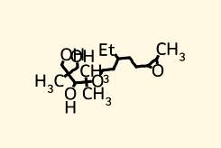 CCC(CCOC(C)(C)C(O)C(C)(CO)CO)CCC1OC1C